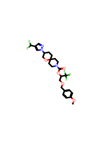 COc1ccc(COCC(OC(=O)N2CCC3(CCC(n4cc(C(F)F)cn4)CO3)CC2)C(F)(F)F)cc1